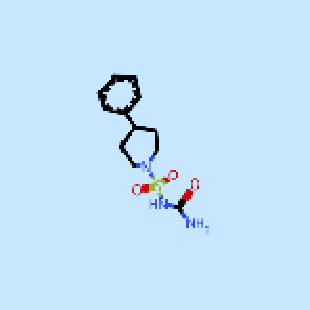 NC(=O)NS(=O)(=O)N1CCC(c2ccccc2)CC1